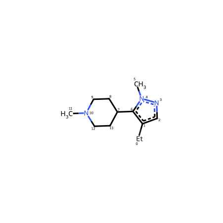 CCc1cnn(C)c1C1CCN(C)CC1